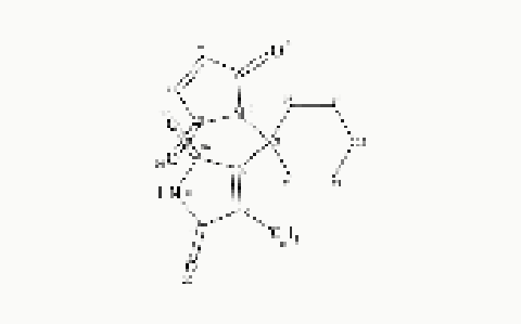 CC1=C(C2(N3C(=O)C=CC3=O)CCCCC2)C(=O)NC1=O